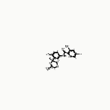 CCc1cc(I)cnc1C(=O)Nc1ccc(F)c([C@]2(C)COCC(N)=N2)c1